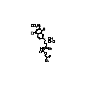 CCOC(=O)c1cn(CC)c2ccc(SCCN(CC)NC(=O)OCC(F)CC)cc2c1=O.O=CO